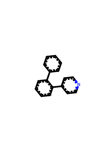 [c]1cccc(-c2ccccc2)c1-c1ccncc1